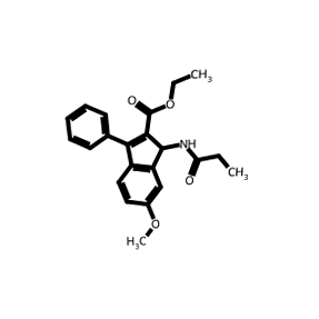 CCOC(=O)C1=C(c2ccccc2)c2ccc(OC)cc2C1NC(=O)CC